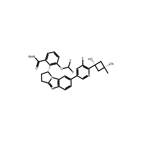 CNC(=O)c1cccc(OC(F)F)c1[C@H]1CCc2nc3ccc(-c4cnc([C@]5(O)C[C@@](C)(C#N)C5)c(F)c4)cc3n21